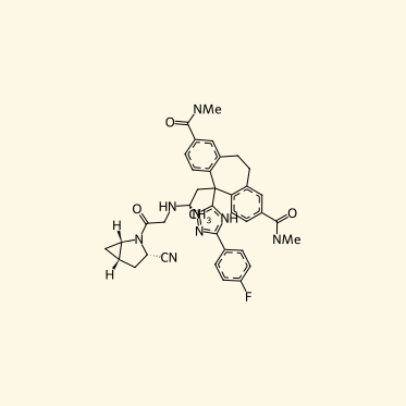 CNC(=O)c1ccc2c(c1)CCc1cc(C(=O)NC)ccc1C2(C[C@@H](C)NCC(=O)N1[C@H](C#N)C[C@@H]2C[C@@H]21)c1nnc(-c2ccc(F)cc2)[nH]1